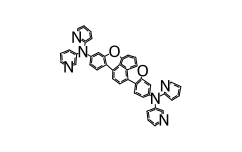 c1ccc(N(c2cccnc2)c2ccc3c(c2)Oc2ccc4c5c(ccc-3c25)-c2ccc(N(c3cccnc3)c3ccccn3)cc2O4)nc1